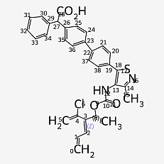 C=C/C=C(\C(=C)Cl)[C@@H](C)OC(=O)Nc1c(C)nsc1-c1ccc(-c2ccc(C(C(=O)O)c3ccccc3)cc2)cc1